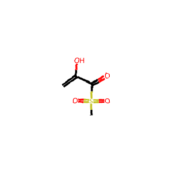 C=C(O)C(=O)S(C)(=O)=O